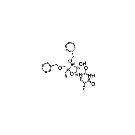 C=C[C@]1(COCc2ccccc2)O[C@@H](n2cc(F)c(=O)[nH]c2=O)[C@@H](O)[C@@H]1OCc1ccccc1